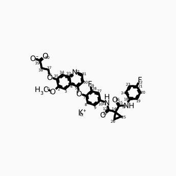 COc1cc2c(Oc3ccc(NC(=O)C4(C(=O)Nc5ccc(F)cc5)CC4)cc3F)ccnc2cc1OCCC(=O)[O-].[K+]